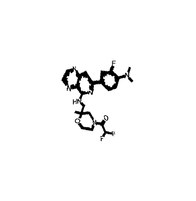 CN(C)c1ccc(-c2cc3nccnc3c(NCC3(C)CN(C(=O)C(F)F)CCO3)n2)cc1F